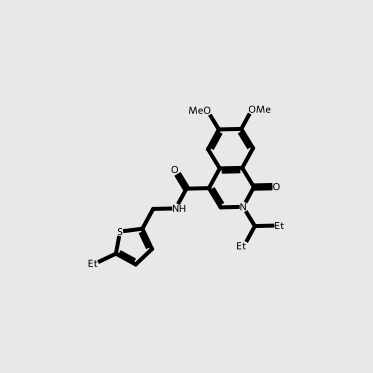 CCc1ccc(CNC(=O)c2cn(C(CC)CC)c(=O)c3cc(OC)c(OC)cc23)s1